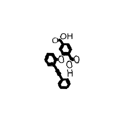 O=C(O)c1ccc(C(=O)O)c(Oc2ccccc2C#Cc2ccccc2)c1